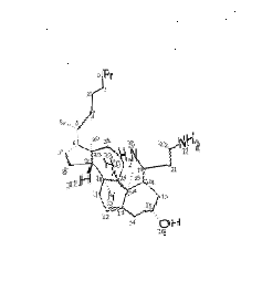 CC(C)CCC[C@@H](C)[C@H]1CC[C@H]2[C@@H]3CC=C4C[C@@H](O)CC(C(N)CCN)[C@]4(C)[C@H]3CC[C@]12C